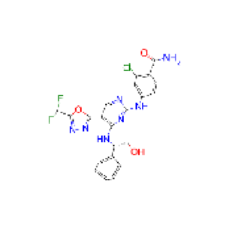 NC(=O)c1ccc(Nc2ncc(-c3nnc(C(F)F)o3)c(N[C@H](CO)c3ccccc3)n2)cc1Cl